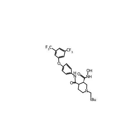 CC(C)(C)CN1CCC(C(=O)Nc2ccc(Oc3cc(C(F)(F)F)cc(C(F)(F)F)c3)cc2)[C@@H](C(=O)NO)C1